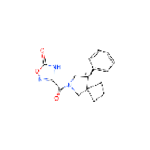 O=C(c1noc(=O)[nH]1)N1C[C@@H](c2ccccc2)C2(CCC2)C1